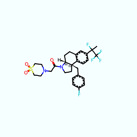 CC(F)(c1ccc2c(c1)CC[C@H]1N(C(=O)CN3CCS(=O)(=O)CC3)CC[C@@]21Cc1ccc(F)cc1)C(F)(F)F